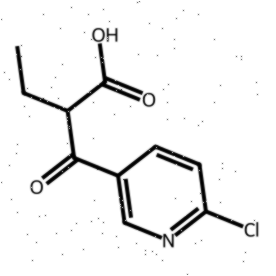 CCC(C(=O)O)C(=O)c1ccc(Cl)nc1